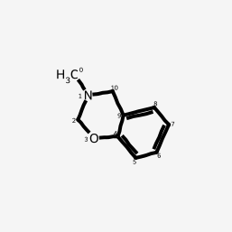 CN1COc2ccccc2C1